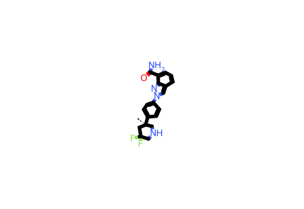 C[C@]1(c2ccc(-n3cc4cccc(C(N)=O)c4n3)cc2)CNCC(F)(F)C1